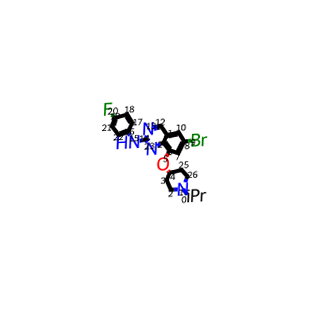 CC(C)N1CCC(Oc2cc(Br)cc3cnc(Nc4ccc(F)cc4)nc23)CC1